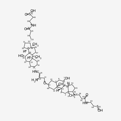 C[C@@]12CC[C@H]3C([C@H](O)CC4C[C@H](OC/C(N)=C/N[C@H]5CC[C@@]6(C)C(C5)C[C@H](O)C5[C@H]7CC[C@H](CCCC(=O)NCCS(=O)O)[C@@]7(C)CC[C@H]56)CC[C@]43C)[C@@H]1CC[C@H]2CCCC(=O)NCCSO